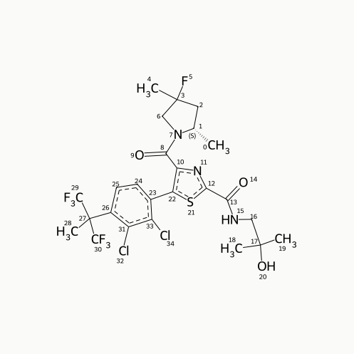 C[C@H]1CC(C)(F)CN1C(=O)c1nc(C(=O)NCC(C)(C)O)sc1-c1ccc(C(C)(C(F)(F)F)C(F)(F)F)c(Cl)c1Cl